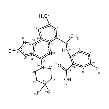 Cc1cc(C(C)Nc2ccc(Cl)nc2C(=O)O)c2nc(N3CCC(F)(F)CC3)n3cc(Cl)nc3c2c1